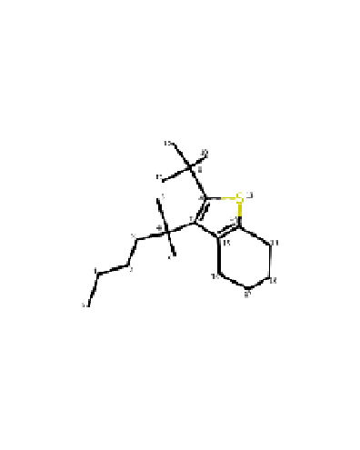 CCCCC(C)(C)c1c(C(C)(C)C)sc2c1CCCC2